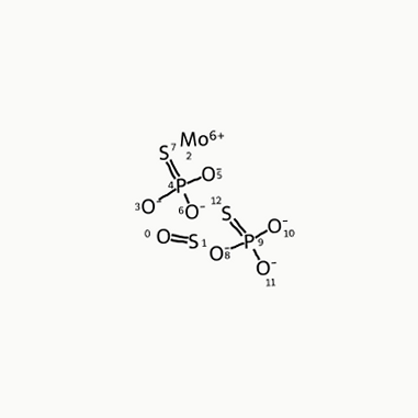 O=S.[Mo+6].[O-]P([O-])([O-])=S.[O-]P([O-])([O-])=S